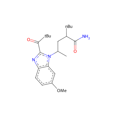 CCCCC(CC(C)n1c(C(=O)C(C)(C)C)nc2ccc(OC)cc21)C(N)=O